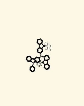 CC1(C)c2ccccc2-c2ccc(N(c3ccc4c(c3)c3ccccc3n4-c3ccccc3)c3cccc4c3C(C)(C)c3ccccc3-4)cc21